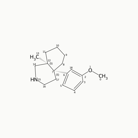 COc1cccc([C@@]23CCCC[C@]2(C)CNCC3)c1